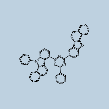 c1ccc(-c2nc(-c3ccc4oc5c6ccccc6ccc5c4c3)nc(-c3cccc4c3c3ccc5ccccc5c3n4-c3ccccc3)n2)cc1